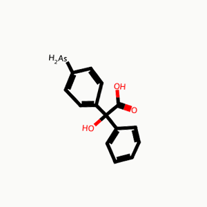 O=C(O)C(O)(c1ccccc1)c1ccc([AsH2])cc1